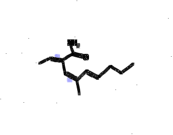 C/C=C(\C=C(\C)C=CCCC)C(N)=O